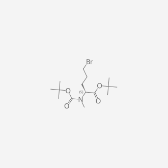 CN(C(=O)OC(C)(C)C)[C@@H](CCCBr)C(=O)OC(C)(C)C